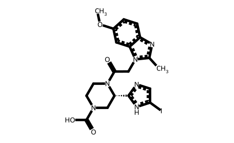 COc1ccc2nc(C)n(CC(=O)N3CCN(C(=O)O)C[C@H]3c3ncc(I)[nH]3)c2c1